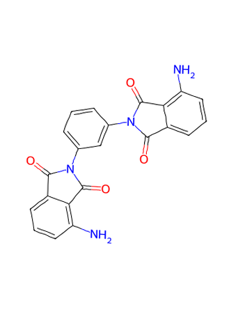 Nc1cccc2c1C(=O)N(c1cccc(N3C(=O)c4cccc(N)c4C3=O)c1)C2=O